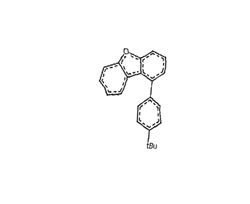 CC(C)(C)c1ccc(-c2cccc3oc4ccccc4c23)cc1